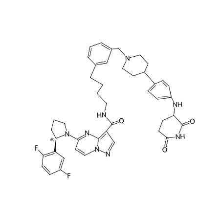 O=C1CCC(Nc2ccc(C3CCN(Cc4cccc(CCCCNC(=O)c5cnn6ccc(N7CCC[C@@H]7c7cc(F)ccc7F)nc56)c4)CC3)cc2)C(=O)N1